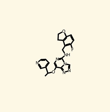 CC(Oc1cnc(NCc2c(F)ccc3c2CCO3)n2cnnc12)c1cccnc1